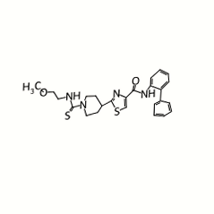 COCCNC(=S)N1CCC(c2nc(C(=O)Nc3ccccc3-c3ccccc3)cs2)CC1